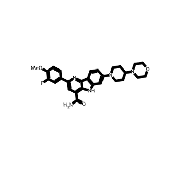 COc1ccc(-c2cc(C(N)=O)c3[nH]c4cc(N5CCC(N6CCOCC6)CC5)ccc4c3n2)cc1F